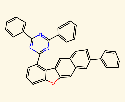 c1ccc(-c2ccc3cc4c(cc3c2)oc2cccc(-c3nc(-c5ccccc5)nc(-c5ccccc5)n3)c24)cc1